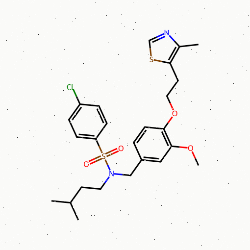 COc1cc(CN(CCC(C)C)S(=O)(=O)c2ccc(Cl)cc2)ccc1OCCc1scnc1C